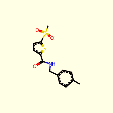 Cc1ccc(CNC(=O)c2ccc(S(C)(=O)=O)s2)cc1